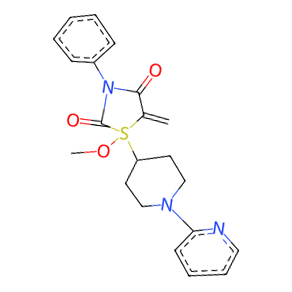 C=C1C(=O)N(c2ccccc2)C(=O)S1(OC)C1CCN(c2ccccn2)CC1